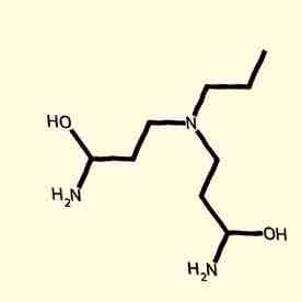 CCCN(CCC(N)O)CCC(N)O